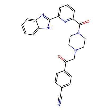 N#Cc1ccc(C(=O)CN2CCN(C(=O)c3cccc(-c4nc5ccccc5[nH]4)n3)CC2)cc1